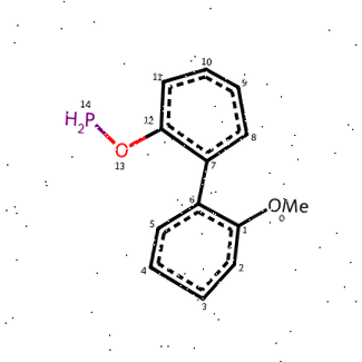 COc1ccccc1-c1ccccc1OP